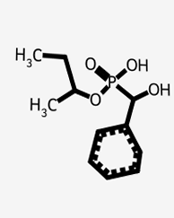 CCC(C)OP(=O)(O)C(O)c1ccccc1